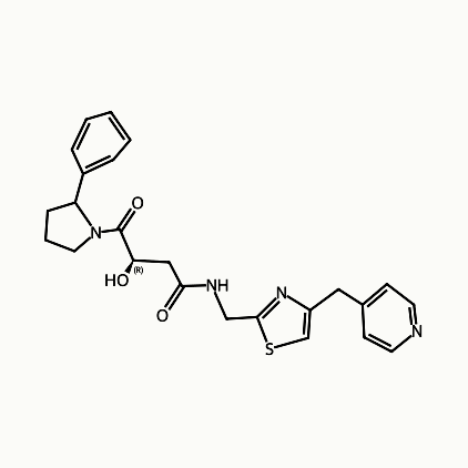 O=C(C[C@@H](O)C(=O)N1CCCC1c1ccccc1)NCc1nc(Cc2ccncc2)cs1